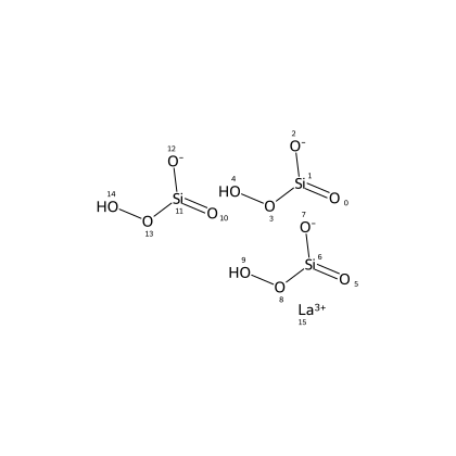 O=[Si]([O-])OO.O=[Si]([O-])OO.O=[Si]([O-])OO.[La+3]